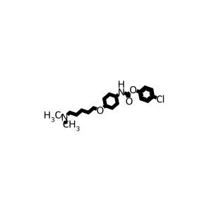 CN(C)CCCCCOC1CCC(NC(=O)Oc2ccc(Cl)cc2)CC1